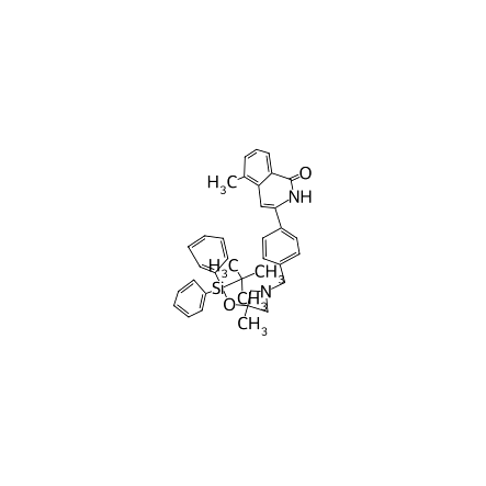 Cc1cccc2c(=O)[nH]c(-c3ccc(CN4CC(C)(O[Si](c5ccccc5)(c5ccccc5)C(C)(C)C)C4)cc3)cc12